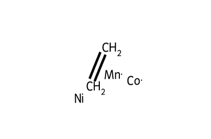 C=C.[Co].[Mn].[Ni]